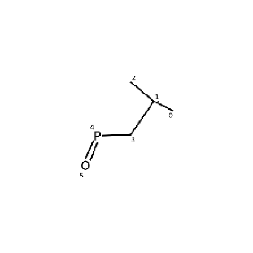 C[C](C)CP=O